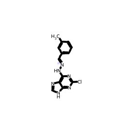 Cc1cccc(/C=N/Nc2nc(Cl)nc3[nH]cnc23)c1